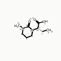 CC[C@@H](C(=O)O)N1CCCN(C)C1=O